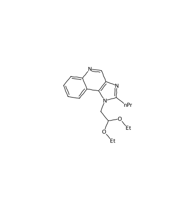 CCCc1nc2cnc3ccccc3c2n1CC(OCC)OCC